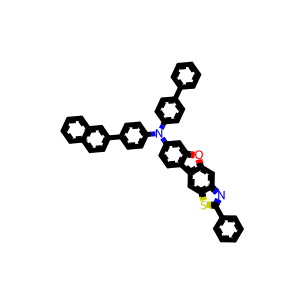 c1ccc(-c2ccc(N(c3ccc(-c4ccc5ccccc5c4)cc3)c3ccc4c(c3)oc3cc5nc(-c6ccccc6)sc5cc34)cc2)cc1